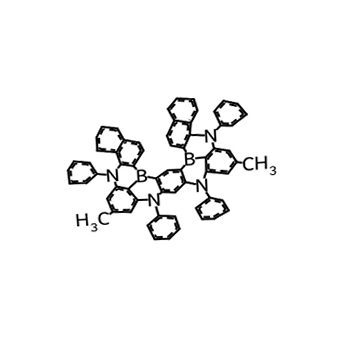 Cc1cc2c3c(c1)N(c1ccccc1)c1c(ccc4ccccc14)B3c1cc3c(cc1N2c1ccccc1)N(c1ccccc1)c1cc(C)cc2c1B3c1ccc3ccccc3c1N2c1ccccc1